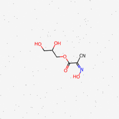 N#CC(=NO)C(=O)OCC(O)CO